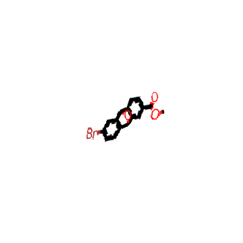 COC(=O)c1ccc2c(c1)C1OC2c2cc(Br)ccc21